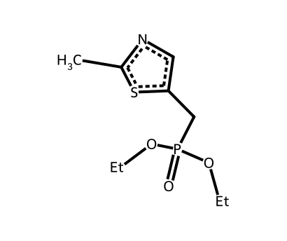 CCOP(=O)(Cc1cnc(C)s1)OCC